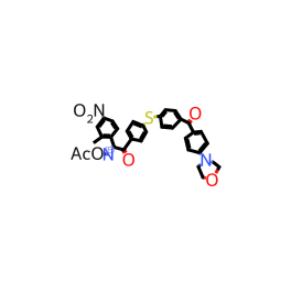 CC(=O)O/N=C(/C(=O)c1ccc(Sc2ccc(C(=O)c3ccc(N4CCOCC4)cc3)cc2)cc1)c1ccc([N+](=O)[O-])cc1C